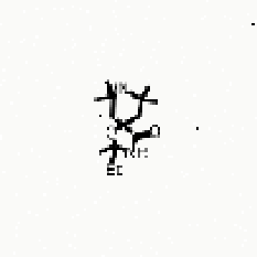 CCC1(C)NC(=O)C2(CC(C)(C)NC(C)(C)C2)O1